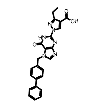 CCc1nn(-c2nc3ncn(Cc4ccc(-c5ccccc5)cc4)c3c(=O)[nH]2)cc1C(=O)O